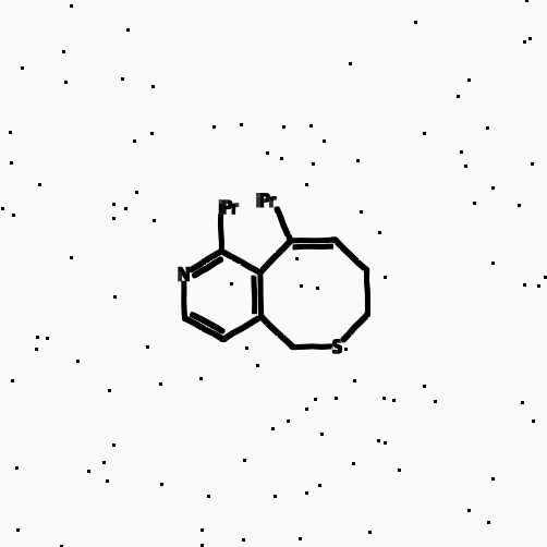 CC(C)/C1=C/CCSCc2ccnc(C(C)C)c21